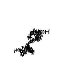 C#Cc1cccc2cc(O)cc(-c3ncc4c(N5CC6CCC(C5)N6)nc(OCCN5CCC6(CC5)CN(c5cc([C@H](C(=O)N7C[C@H](O)C[C@H]7C(=O)N[C@@H](C)c7ccc(-c8scnc8C)cc7)C(C)C)on5)C6)nc4c3F)c12